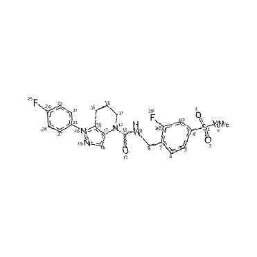 CNS(=O)(=O)c1ccc(CNC(=O)N2CCCc3c2cnn3-c2ccc(F)cc2)c(F)c1